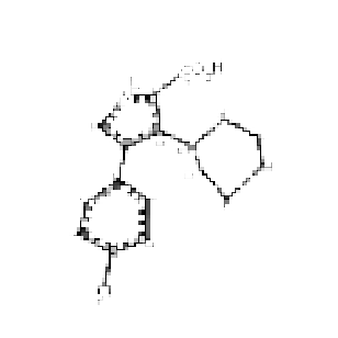 O=C(O)c1[nH]cc(-c2ccc(Cl)cc2)c1N1CCCCC1